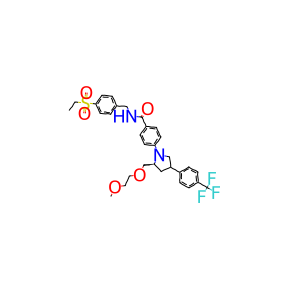 CCS(=O)(=O)c1ccc(CNC(=O)c2ccc(N3CC(c4ccc(C(F)(F)F)cc4)C[C@H]3COCCOC)cc2)cc1